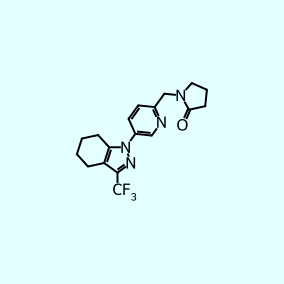 O=C1CCCN1Cc1ccc(-n2nc(C(F)(F)F)c3c2CCCC3)cn1